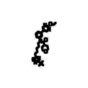 CCOc1ncc(-c2cccc(N(CCCCCc3nc(C(C)(C)C)no3)C(=O)C3CCOCC3)c2)cn1